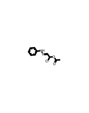 CC(=O)OC(Cl)/C=N/Nc1ccccc1